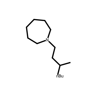 CCCCC(C)CCN1CCCCCC1